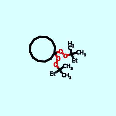 CCC(C)(C)OOC1(OOC(C)(C)CC)CCCCCCCCCCC1